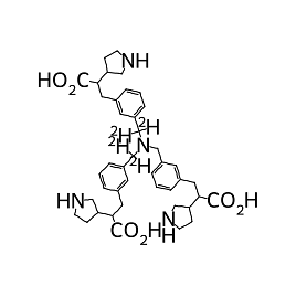 [2H]C([2H])(c1cccc(CC(C(=O)O)C2CCNC2)c1)N(Cc1cccc(CC(C(=O)O)C2CCNC2)c1)C([2H])([2H])c1cccc(CC(C(=O)O)C2CCNC2)c1